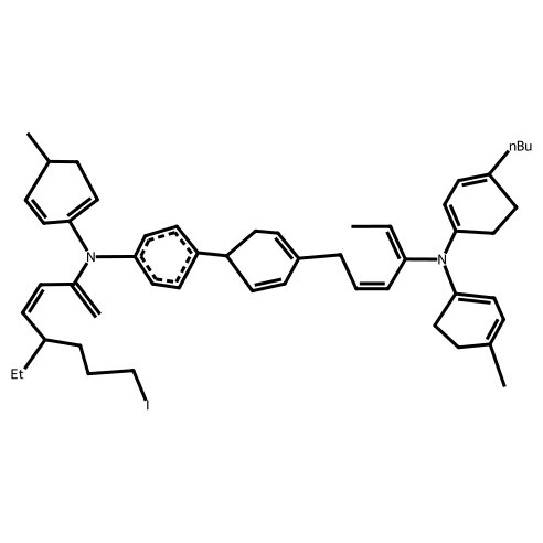 C=C(/C=C\C(CC)CCCI)N(C1=CCC(C)C=C1)c1ccc(C2C=CC(C/C=C\C(=C/C)N(C3=CC=C(C)CC3)C3=CC=C(CCCC)CC3)=CC2)cc1